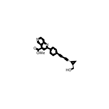 COC(=O)c1cc(-c2ccc(C#CC#C[C@@H]3C[C@H]3CO)cc2)nc2ccncc12